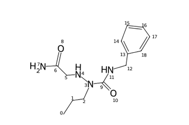 CCCN(NCC(N)=O)C(=O)NCc1ccccc1